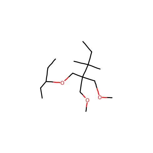 CCC(CC)OCC(COC)(COC)C(C)(C)CC